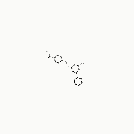 CN(C)C(=O)c1ccc(COc2cc(-c3ccccc3)cc(CC(=O)O)c2C(F)(F)F)cc1